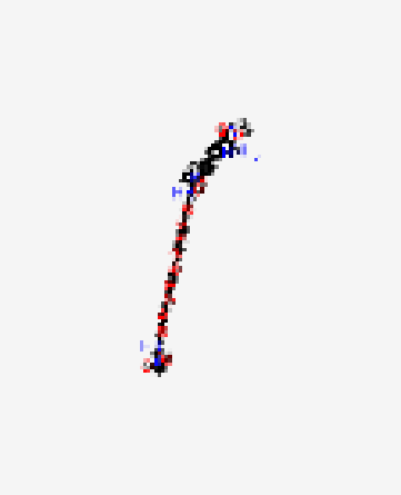 CCCN(OCC)C(=O)C1=Cc2ccc(-c3ccc(C(=O)N4C(C(=O)NCCOCCOCCOCCOCCOCCOCCOCCOCCOCCNC(=O)CN5C(=O)C=CC5=O)CC[C@H]4C#N)cc3)cc2N=C(N)C1